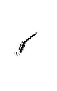 CC(C)CCCCCCCCCCC(F)(F)C(F)(F)C(F)(F)C(F)(F)C(F)(F)C(F)(F)C(C)(F)F